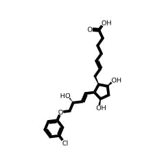 O=C(O)CCCC=CC[C@@H]1C(C=C[C@@H](O)COc2cccc(Cl)c2)[C@H](O)C[C@@H]1O